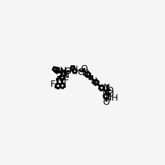 C#Cc1c(F)ccc2cccc(-c3ncc4c(N5CC6CCC(C5)N6)nc(OC[C@]56CCCN5[C@H](COC(=O)N5CCC7(CC5)CC(N5CCC(c8ccc9c(c8)n(C)c(=O)n9C8CCC(=O)NC8=O)CC5)C7)CC6)nc4c3F)c12